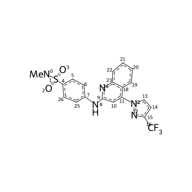 CNS(=O)(=O)c1ccc(Nc2cc(-n3ccc(C(F)(F)F)n3)c3ccccc3n2)cc1